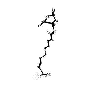 CCCC(CC)CCCCCCCCCCC1CC(=O)OC1=O